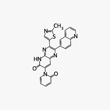 Cc1ncc(-c2nc3[nH]c(=O)c(-n4ccccc4=O)cc3nc2-c2ccc3ncccc3c2)s1